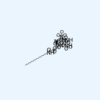 CCCCCCCCCCCCCCCCCCNC(=O)CCC(=O)OC[C@@H]1CN(P(=O)(OC[C@@H]2CN(C(c3ccccc3)(c3ccccc3)c3ccccc3)C[C@H](n3cc(C)c(=O)[nH]c3=O)O2)N(C)C)C[C@H](n2ccc(NC(=O)c3ccccc3)nc2=O)O1